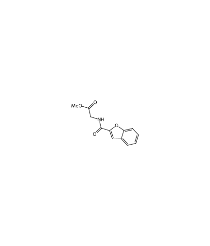 COC(=O)CNC(=O)c1cc2ccccc2o1